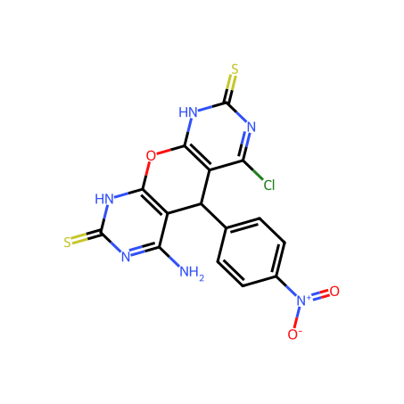 Nc1nc(=S)[nH]c2c1C(c1ccc([N+](=O)[O-])cc1)c1c(Cl)nc(=S)[nH]c1O2